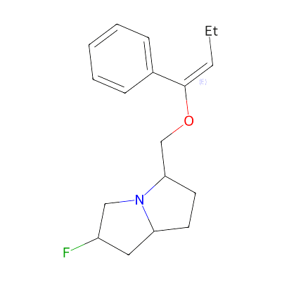 CC/C=C(/OCC1CCC2CC(F)CN12)c1ccccc1